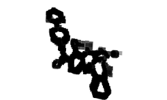 O=C(c1cccc(Nc2n[s+]([O-])nc2Nc2ccccc2Br)c1O)N1CCN(c2ncccn2)CC1